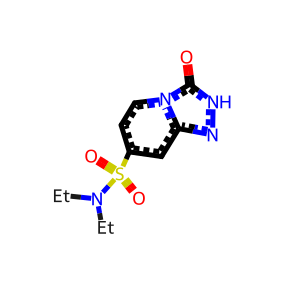 CCN(CC)S(=O)(=O)c1ccn2c(=O)[nH]nc2c1